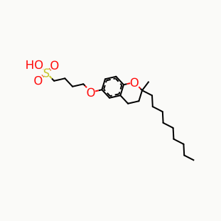 CCCCCCCCCC1(C)CCc2cc(OCCCCS(=O)(=O)O)ccc2O1